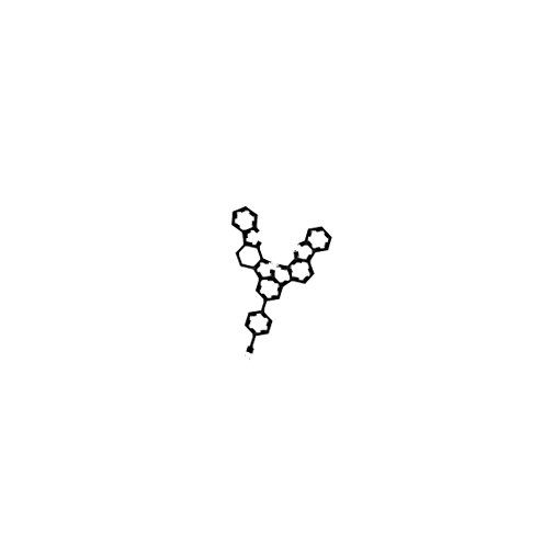 N#Cc1ccc(-c2cc3c4c(n5c3c(c2)c2ccc3c6ccccc6oc3c25)-c2oc3ccccc3c2CC4)cc1